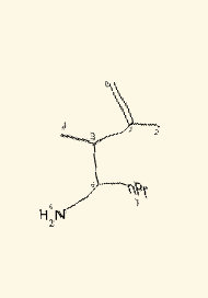 C=C(C)C(C)C(N)CCC